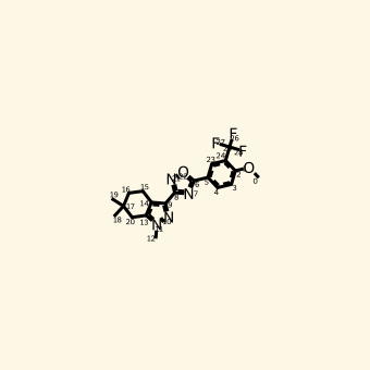 COc1ccc(-c2nc(-c3nn(C)c4c3CCC(C)(C)C4)no2)cc1C(F)(F)F